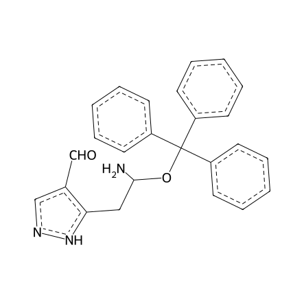 NC(Cc1[nH]ncc1C=O)OC(c1ccccc1)(c1ccccc1)c1ccccc1